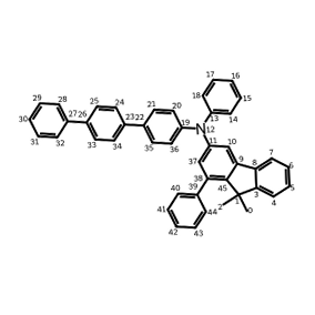 CC1(C)c2ccccc2-c2cc(N(c3ccccc3)c3ccc(-c4ccc(-c5ccccc5)cc4)cc3)cc(-c3ccccc3)c21